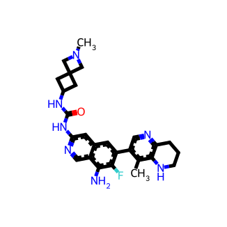 Cc1c(-c2cc3cc(NC(=O)NC4CC5(C4)CN(C)C5)ncc3c(N)c2F)cnc2c1NCCC2